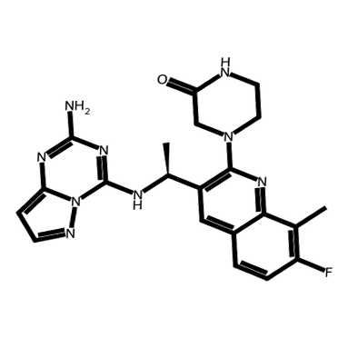 Cc1c(F)ccc2cc([C@H](C)Nc3nc(N)nc4ccnn34)c(N3CCNC(=O)C3)nc12